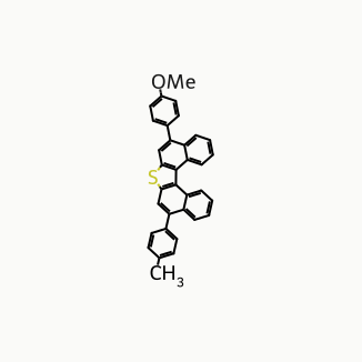 COc1ccc(-c2cc3sc4cc(-c5ccc(C)cc5)c5ccccc5c4c3c3ccccc23)cc1